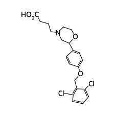 O=C(O)CCCN1CCOC(c2ccc(OCc3c(Cl)cccc3Cl)cc2)C1